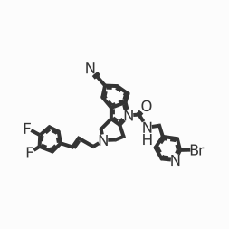 N#Cc1ccc2c(c1)c1c(n2C(=O)NCc2ccnc(Br)c2)CCN(CC=Cc2ccc(F)c(F)c2)C1